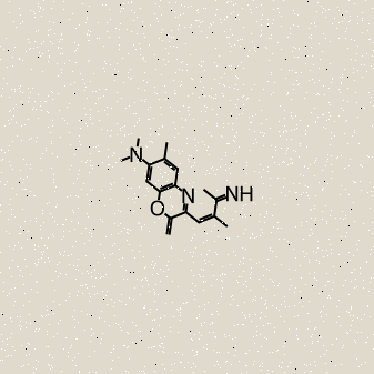 C=C1Oc2cc(N(C)C)c(C)cc2N=C1/C=C(/C)C(C)=N